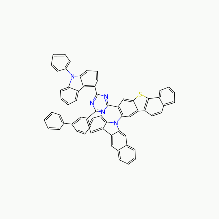 c1ccc(-c2cccc(-c3nc(-c4cc5sc6c7ccccc7ccc6c5cc4-n4c5ccccc5c5cc6ccccc6cc54)nc(-c4cccc5c4c4ccccc4n5-c4ccccc4)n3)c2)cc1